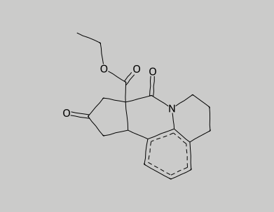 CCOC(=O)C12CC(=O)CC1c1cccc3c1N(CCC3)C2=O